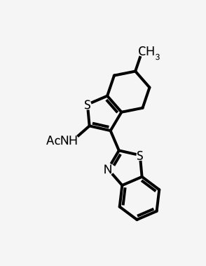 CC(=O)Nc1sc2c(c1-c1nc3ccccc3s1)CCC(C)C2